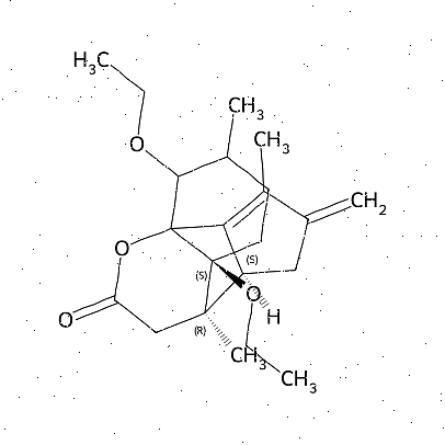 C=C1C[C@@H]2C(=C1C)C13OC(=O)C[C@@]2(C)[C@@]1(OCC)CCC(C)C3OCC